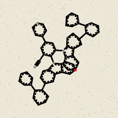 N#Cc1cc(-c2ccncc2)cc(-n2c3ccccc3c3cc(-c4ccccc4-c4ccccc4)ccc32)c1-n1c2ccccc2c2cc(-c3ccccc3-c3ccccc3)ccc21